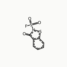 O=c1c2ccccc2sn1S(=O)(=O)F